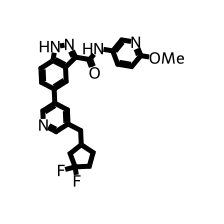 COc1ccc(NC(=O)c2n[nH]c3ccc(-c4cncc(CC5CCC(F)(F)C5)c4)cc23)cn1